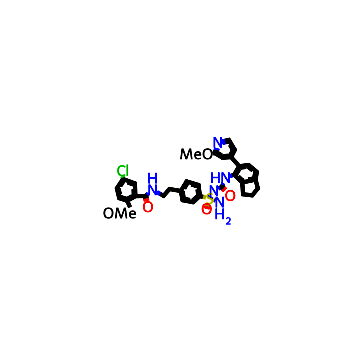 COc1cc(-c2ccc3c(c2NC(=O)N=S(N)(=O)c2ccc(CCNC(=O)c4cc(Cl)ccc4OC)cc2)CCC3)ccn1